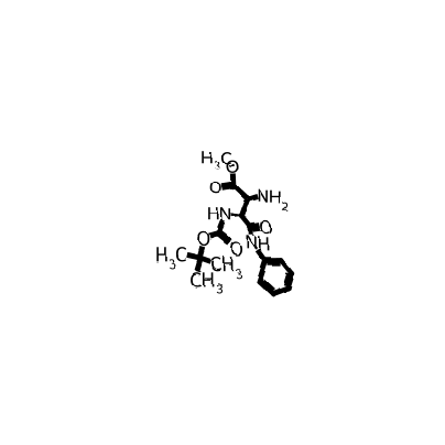 COC(=O)C(N)[C@H](NC(=O)OC(C)(C)C)C(=O)Nc1ccccc1